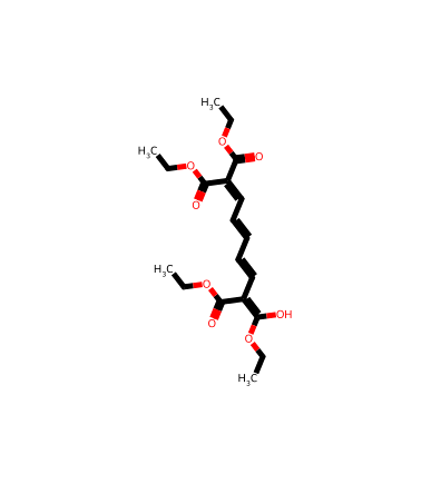 CCOC(=O)C(=CC=CC=C/C(C(=O)OCC)=C(\O)OCC)C(=O)OCC